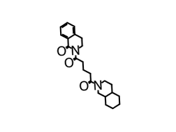 O=C(CCCC(=O)N1CCc2ccccc2C1=O)N1CCC2CCCCC2C1